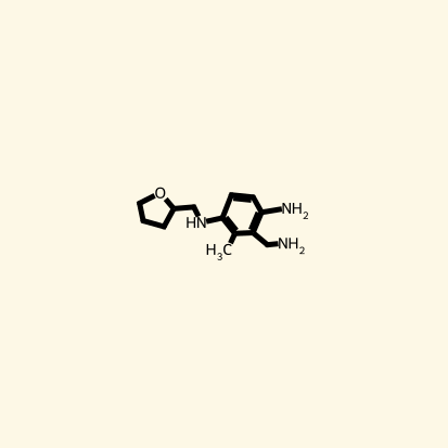 Cc1c(NCC2CCCO2)ccc(N)c1CN